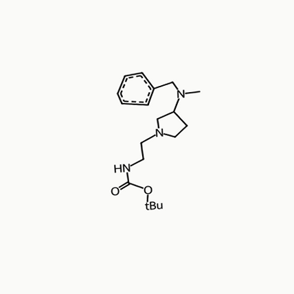 CN(Cc1ccccc1)C1CCN(CCNC(=O)OC(C)(C)C)C1